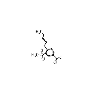 CCC=CCc1ccc(C(=O)Cl)cc1S(C)(=O)=O